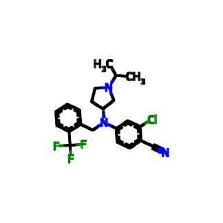 CC(C)N1CC[C@H](N(Cc2ccccc2C(F)(F)F)c2ccc(C#N)c(Cl)c2)C1